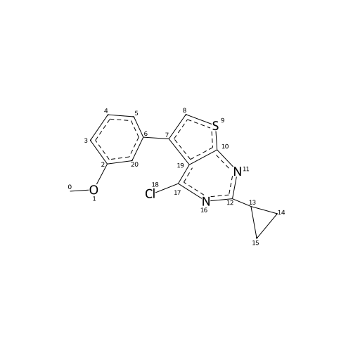 COc1cccc(-c2csc3nc(C4CC4)nc(Cl)c23)c1